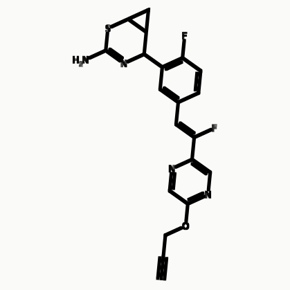 C#CCOc1cnc(/C(F)=C/c2ccc(F)c(C3N=C(N)SC4CC43)c2)cn1